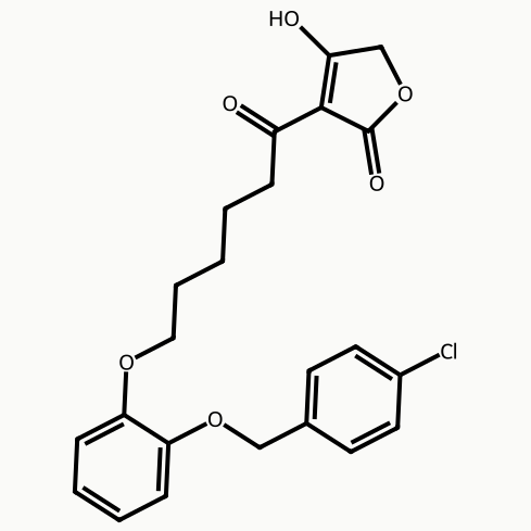 O=C(CCCCCOc1ccccc1OCc1ccc(Cl)cc1)C1=C(O)COC1=O